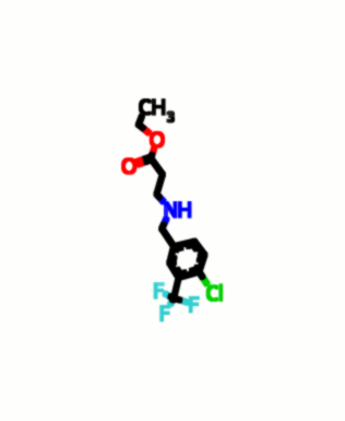 CCOC(=O)CCNCc1ccc(Cl)c(C(F)(F)F)c1